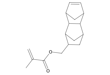 C=C(C)C(=O)OCC1CC2CC1C1C3C=CC(C3)C21